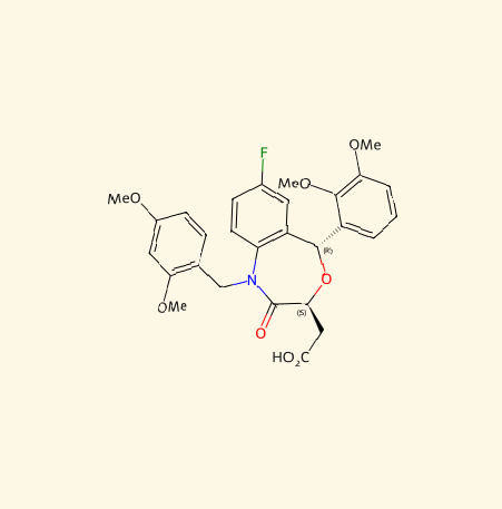 COc1ccc(CN2C(=O)[C@H](CC(=O)O)O[C@@H](c3cccc(OC)c3OC)c3cc(F)ccc32)c(OC)c1